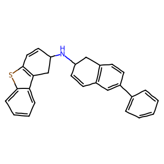 C1=CC(NC2C=Cc3sc4ccccc4c3C2)Cc2ccc(-c3ccccc3)cc21